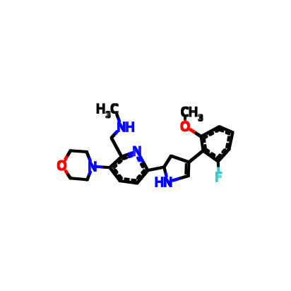 CNCc1nc(C2CC(c3c(F)cccc3OC)=CN2)ccc1N1CCOCC1